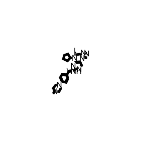 C[C@H](Nc1ncc2c(n1)N(C1CCCC1)[C@H](I)c1nncn1-2)c1ccc(N2CCN(C)CC2)cc1